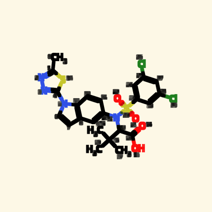 Cc1nnc(-n2ccc3cc(N(C(C(=O)O)C(C)(C)C)S(=O)(=O)c4cc(Cl)cc(Cl)c4)ccc32)s1